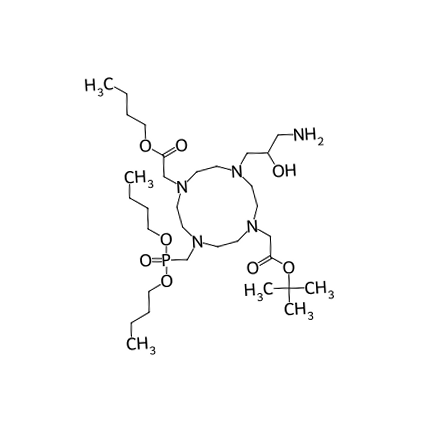 CCCCOC(=O)CN1CCN(CC(O)CN)CCN(CC(=O)OC(C)(C)C)CCN(CP(=O)(OCCCC)OCCCC)CC1